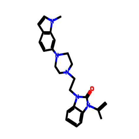 C=C(C)n1c(=O)n(CCN2CCN(c3ccc4ccn(C)c4c3)CC2)c2ccccc21